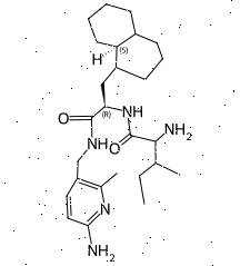 CCC(C)C(N)C(=O)N[C@H](CC1CCCC2CCCC[C@@H]21)C(=O)NCc1ccc(N)nc1C